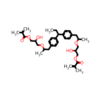 C=C(C)C(=O)OCC(O)COC(C)Cc1ccc(C(CC)c2ccc(CC(C)OCC(O)COC(=O)C(=C)C)cc2)cc1